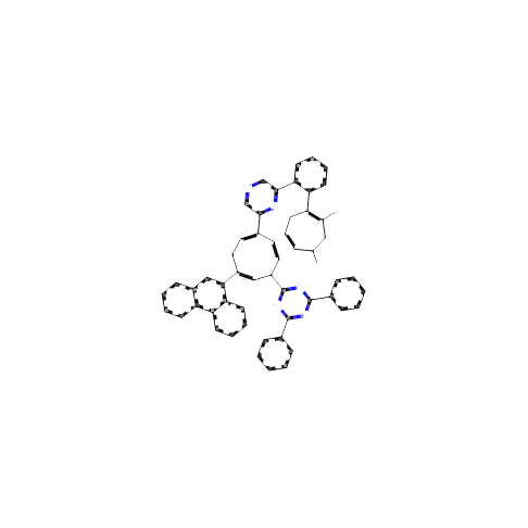 CC1=C(c2ccccc2-c2cncc(/C3=C/C/C(c4cc5ccccc5c5ccccc45)=C\C(c4nc(-c5ccccc5)nc(-c5ccccc5)n4)C=C3)n2)CC=CC(C)C1